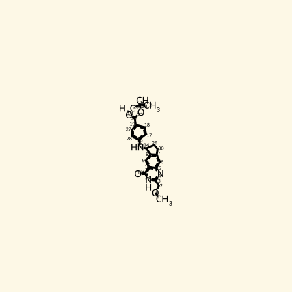 COCc1nc2cc3c(cc2c(=O)[nH]1)C(Nc1ccc(C(=O)OC(C)(C)C)cc1)CC3